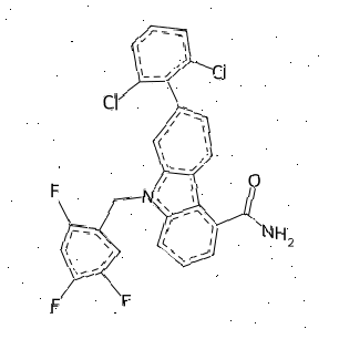 NC(=O)c1cccc2c1c1[c]cc(-c3c(Cl)cccc3Cl)cc1n2Cc1cc(F)c(F)cc1F